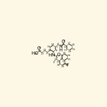 CC(C(=O)Nc1cc(CNC(=O)c2ccccc2)ccc1CCCC(=O)O)c1ccc(F)c2ccccc12